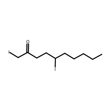 CCCCCC(I)CCC(=O)CI